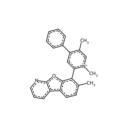 Cc1c[n+](C)c(-c2c(C)ccc3c2oc2ncccc23)cc1-c1ccccc1